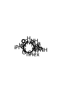 CCCCCC[C@H]1OC[C@@H](C)NC(=O)[C@H](CNC(=O)C2CCNCC2)NC(=O)[C@H](CN)NC(=O)[C@H](C2CCCCC2)NC(=O)[C@H](CCC(C)C)N(C)C(=O)[C@@H]1C